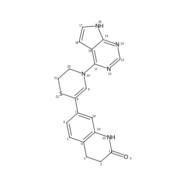 O=C1CCc2ccc(C3=CN(c4ncnc5[nH]ccc45)CCS3)cc2N1